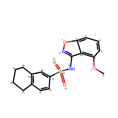 COc1cccc2onc(NS(=O)(=O)c3ccc4c(c3)CCCC4)c12